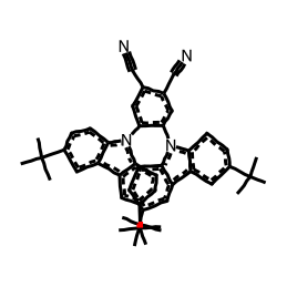 CC(C)(C)c1ccc2c(c1)c1cc(C(C)(C)C)ccc1n2-c1cc(C#N)c(C#N)cc1-n1c2ccc(C(C)(C)C)cc2c2cc(C(C)(C)C)ccc21